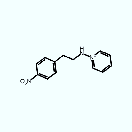 O=[N+]([O-])c1ccc(CCN[n+]2ccccc2)cc1